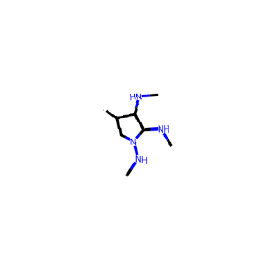 [CH2]C1CN(NC)C(NC)C1NC